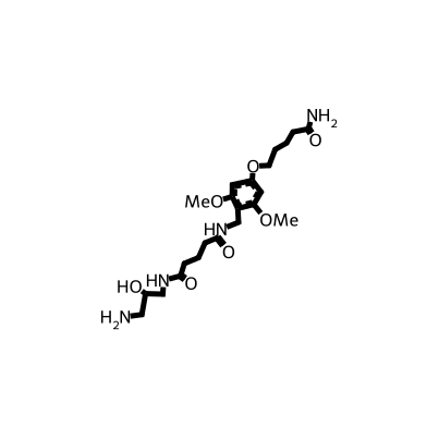 COc1cc(OCCCCC(N)=O)cc(OC)c1CNC(=O)CCCC(=O)NCC(O)CN